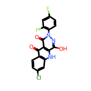 O=c1c2ccc(Cl)cc2[nH]c2c(O)nn(-c3ccc(F)cc3F)c(=O)c12